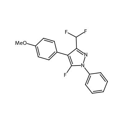 COc1ccc(-c2c(C(F)F)nn(-c3ccccc3)c2F)cc1